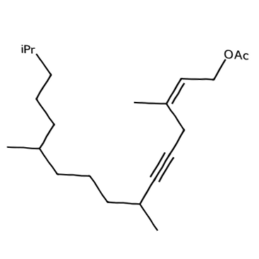 CC(=O)OCC=C(C)CC#CC(C)CCCC(C)CCCC(C)C